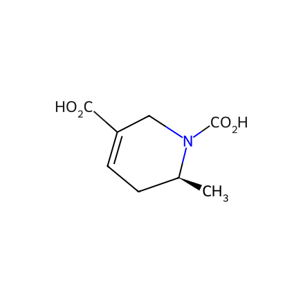 C[C@H]1CC=C(C(=O)O)CN1C(=O)O